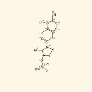 CC(=O)C1C(O[Si](C)(C)C(C)(C)C)CCN1C(=O)Cc1ccc(C#N)c(Cl)c1C